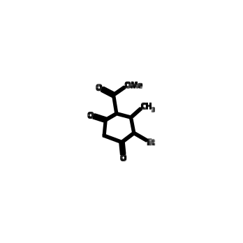 CCC1C(=O)CC(=O)C(C(=O)OC)C1C